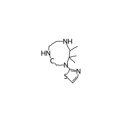 CC1NCCNCCN(c2nccs2)C1(C)C